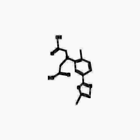 Cc1cnc(-c2ccc(C)c(N(CC(=O)O)CC(=O)O)c2)o1